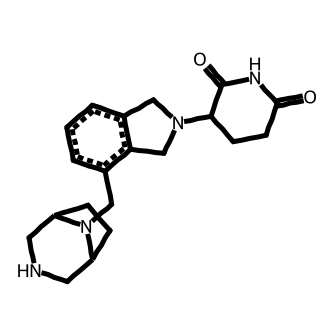 O=C1CCC(N2Cc3cccc(CN4C5CCC4CNC5)c3C2)C(=O)N1